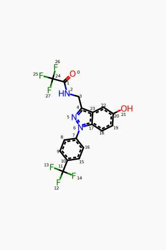 O=C(NCc1nn(-c2ccc(C(F)(F)F)cc2)c2ccc(O)cc12)C(F)(F)F